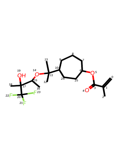 C=C(C)C(=O)OC1CCCC(C(C)(C)OC(C)C(C)(O)C(F)(F)F)CC1